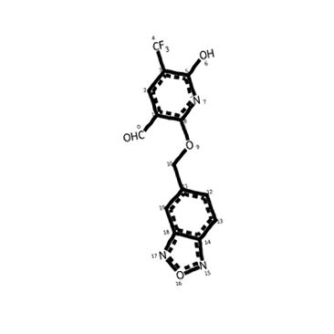 O=Cc1cc(C(F)(F)F)c(O)nc1OCc1ccc2nonc2c1